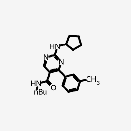 CCCCNC(=O)c1cnc(NC2CCCC2)nc1-c1cccc(C)c1